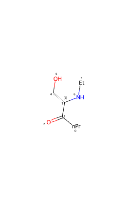 CCCC(=O)[C@H](CO)NCC